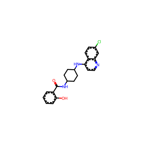 O=C(NC1CCC(Nc2ccnc3cc(Cl)ccc23)CC1)c1ccccc1O